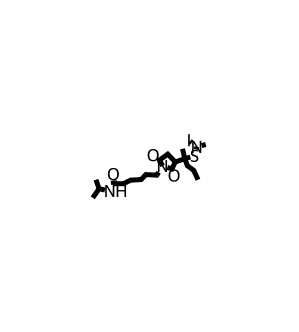 CCCC(C)(SN(C)I)C1CC(=O)N(CCCCCC(=O)NC(C)C)C1=O